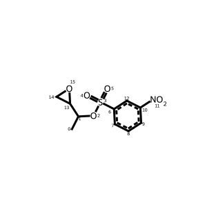 CC(OS(=O)(=O)c1cccc([N+](=O)[O-])c1)C1CO1